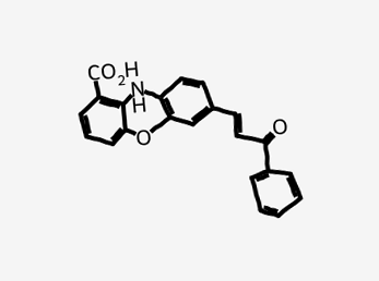 O=C(C=Cc1ccc2c(c1)Oc1cccc(C(=O)O)c1N2)c1ccccc1